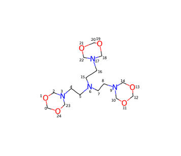 C1OCN(CCN(CCN2COCOC2)CCN2COCOC2)CO1